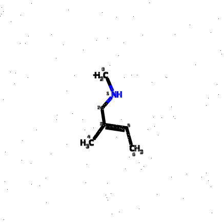 [CH2]NCC(C)=CC